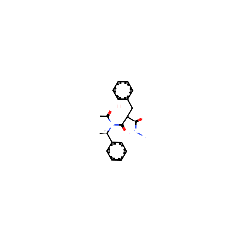 CC(=O)N(C(=O)[C@@](O)(Cc1ccccc1)C(=O)NN)[C@H](C)c1ccccc1